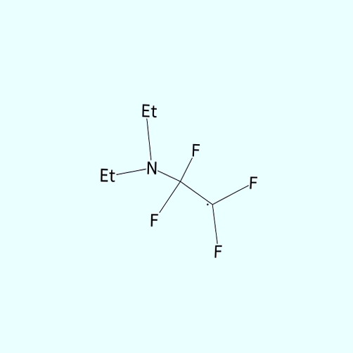 CCN(CC)C(F)(F)[C](F)F